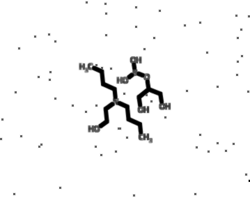 CCCCN(CCO)CCCC.OCC(CO)OB(O)O